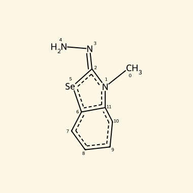 Cn1/c(=N/N)[se]c2ccccc21